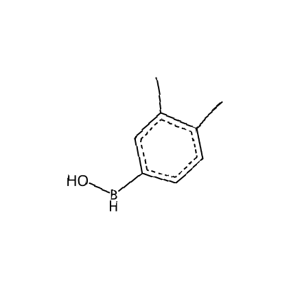 Cc1ccc(BO)cc1C